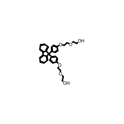 OCCOCCOc1ccc(C2(c3ccc(OCCOCCO)cc3)c3ccccc3-c3ccccc32)cc1